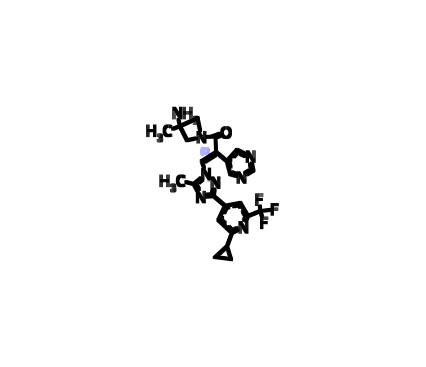 Cc1nc(-c2cc(C3CC3)nc(C(F)(F)F)c2)nn1/C=C(/C(=O)N1CC(C)(N)C1)c1cncnc1